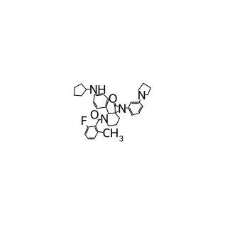 Cc1cccc(F)c1C(=O)N1CCCC2(C(=O)N2c2cccc(N3CCCC3)c2)C1c1ccc(NC2CCCC2)cc1